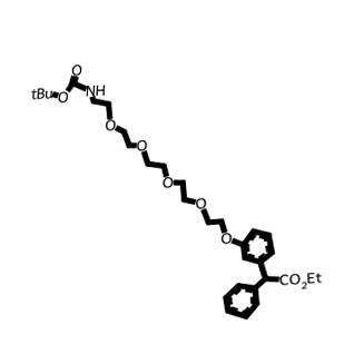 CCOC(=O)C(c1ccccc1)c1cccc(OCCOCCOCCOCCOCCNC(=O)OC(C)(C)C)c1